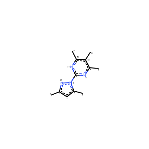 Cc1cc(C)n(-c2nc(C)c(C)c(C)n2)n1